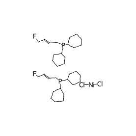 FCC=CCP(C1CCCCC1)C1CCCCC1.FCC=CCP(C1CCCCC1)C1CCCCC1.[Cl][Ni][Cl]